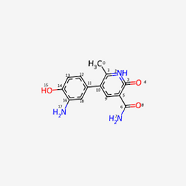 Cc1[nH]c(=O)c(C(N)=O)cc1-c1ccc(O)c(N)c1